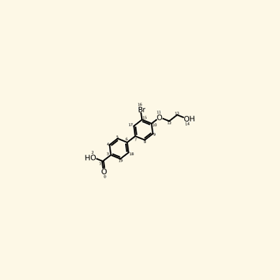 O=C(O)c1ccc(-c2ccc(OCCO)c(Br)c2)cc1